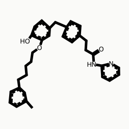 Cc1cccc(CCCCCOc2cc(Cc3ccc(CCC(=O)Nc4ccccn4)cc3)ccc2O)c1